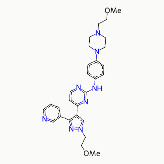 COCCN1CCN(c2ccc(Nc3nccc(-c4cn(CCOC)nc4-c4cccnc4)n3)cc2)CC1